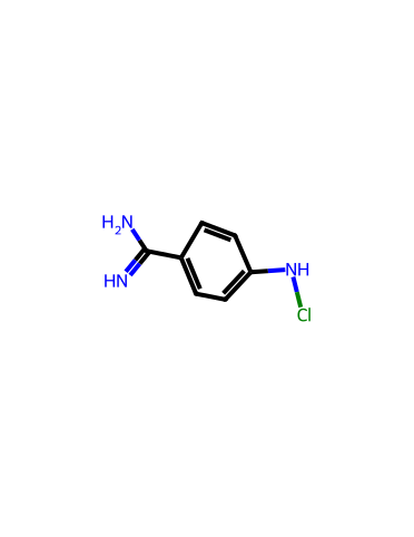 N=C(N)c1ccc(NCl)cc1